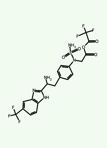 NC(Cc1ccc(N(CC(=O)OC(=O)C(F)(F)F)S(N)(=O)=O)cc1)c1nc2cc(C(F)(F)F)ccc2[nH]1